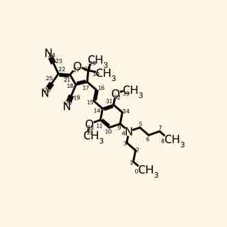 CCCCN(CCCC)C1C=C(OC)C(/C=C/C2=C(C#N)C(=C(C#N)C#N)OC2(C)C)=C(OC)C1